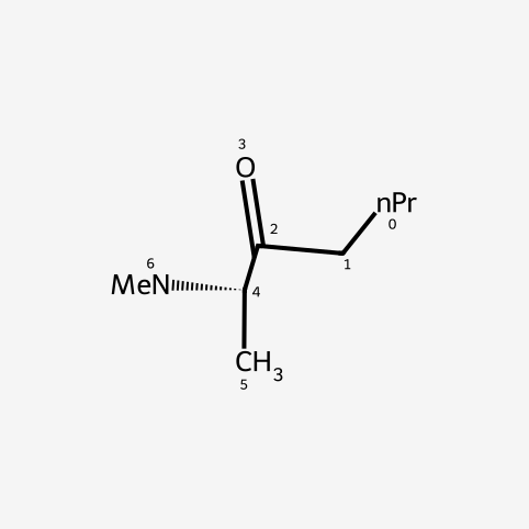 CCCCC(=O)[C@H](C)NC